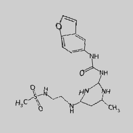 CC1CC(NCCNS(C)(=O)=O)NC(NC(=O)Nc2ccc3occc3c2)N1